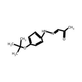 CC(=O)/C=N/Nc1ccc(OC(C)(C)C)cc1